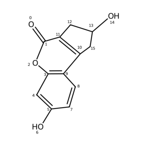 O=c1oc2cc(O)ccc2c2c1CC(O)C2